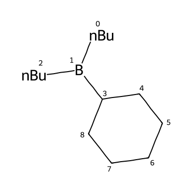 CCCCB(CCCC)C1CCCCC1